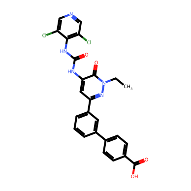 CCn1nc(-c2cccc(-c3ccc(C(=O)O)cc3)c2)cc(NC(=O)Nc2c(Cl)cncc2Cl)c1=O